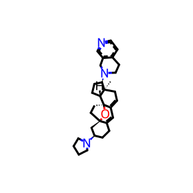 C[C@]12CC=C3C=C4CC[C@@H](N5CCCC5)C[C@]45CC[C@]3(O5)[C@@H]1CC[C@@H]2N1CCc2ccncc2C1